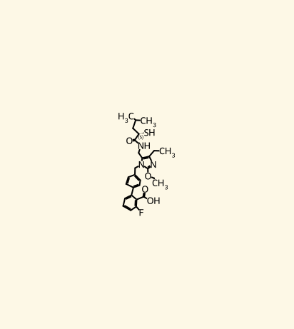 CCOc1nc(CC)c(CNC(=O)[C@@H](S)CC(C)C)n1Cc1ccc(-c2cccc(F)c2C(=O)O)cc1